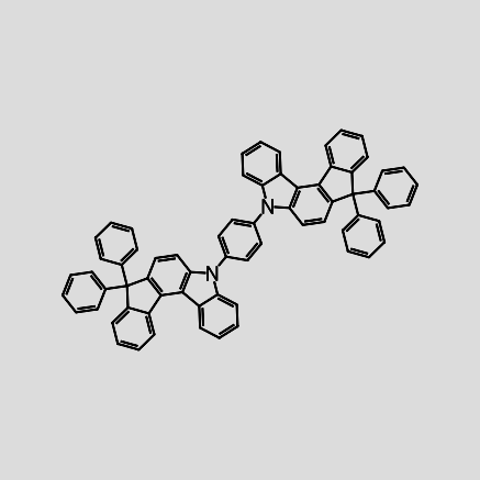 c1ccc(C2(c3ccccc3)c3ccccc3-c3c2ccc2c3c3ccccc3n2-c2ccc(-n3c4ccccc4c4c5c(ccc43)C(c3ccccc3)(c3ccccc3)c3ccccc3-5)cc2)cc1